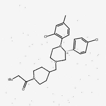 Cc1ccc(N2CCN(CC3CCN(C(=O)CC(C)(C)C)CC3)C[C@H]2c2ccc(Cl)cc2)c(Cl)c1